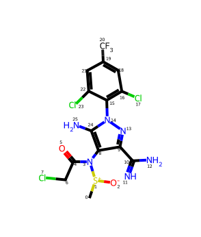 C[S+]([O-])N(C(=O)CCl)c1c(C(=N)N)nn(-c2c(Cl)cc(C(F)(F)F)cc2Cl)c1N